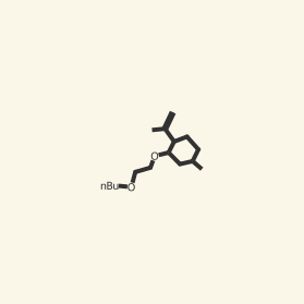 C=C(C)C1CCC(C)CC1OCCOCC[CH]C